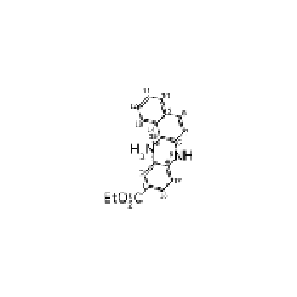 CCOC(=O)c1ccc(Nc2ccc3ccccc3c2N)cc1